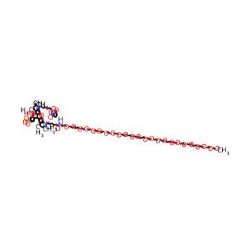 COCCOCCOCCOCCOCCOCCOCCOCCOCCOCCOCCOCCOCCOCCOCCOCCOCCOCCOCCOCCOCCOCCOCCOCCNC(=O)CCCCC[N+]1=c2cc3c(cc2C(C)CC1(C)C)=C(c1ccc(S(=O)(=O)[O-])cc1C(=O)O)c1cc2c(cc1O3)N(CCCCCC(=O)ON1C(=O)CCC1=O)C(C)(C)CC2C